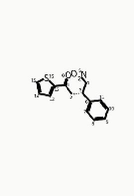 O=C(C[C@H](C[N+](=O)[O-])c1ccccc1)c1cccs1